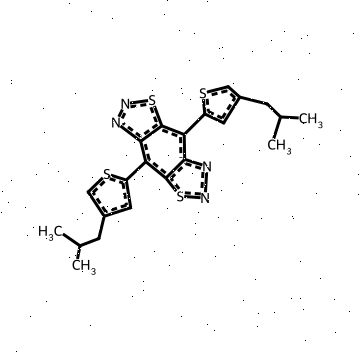 CC(C)Cc1csc(-c2c3nnsc3c(-c3cc(CC(C)C)cs3)c3nnsc23)c1